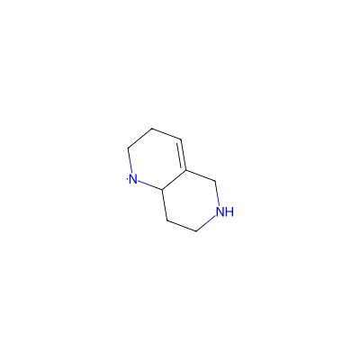 C1=C2CNCCC2[N]CC1